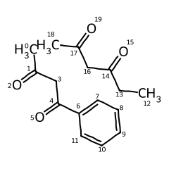 CC(=O)CC(=O)c1ccccc1.CCC(=O)CC(C)=O